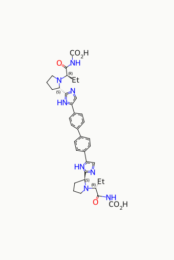 CC[C@H](C(=O)NC(=O)O)N1CCC[C@H]1c1ncc(-c2ccc(-c3ccc(-c4cnc([C@@H]5CCCN5[C@H](CC)C(=O)NC(=O)O)[nH]4)cc3)cc2)[nH]1